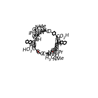 CN[C@@H](C)C(=O)N[C@H](C(=O)N1C[C@@H]2C[C@H]1C(=O)N[C@@H](Cc1ccc3ccccc3c1)C(=O)N[C@H](C(=O)O)Cc1ccc(cc1)OCc1cn(nn1)[C@H]1C[C@@H](C(=O)N[C@@H](Cc3ccc4ccccc4c3)C(=O)N[C@H](C(=O)O)Cc3ccc(cc3)OCc3cn2nn3)N(C(=O)[C@@H](NC(=O)[C@H](C)NC)C(C)C)C1)C(C)C